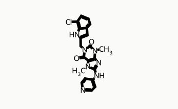 Cn1c(Nc2ccncc2)nc2c1c(=O)n(Cc1cc3cccc(Cl)c3[nH]1)c(=O)n2C